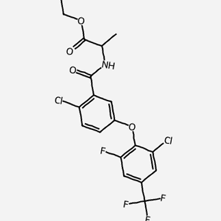 CCOC(=O)C(C)NC(=O)c1cc(Oc2c(F)cc(C(F)(F)F)cc2Cl)ccc1Cl